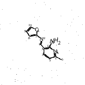 Cc1ccc(/C=N/c2ccco2)c(N)n1